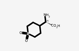 N[C@H](C(=O)O)C1CCS(=O)(=O)CC1